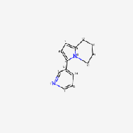 c1cncc(-c2ccc3n2CCCC3)c1